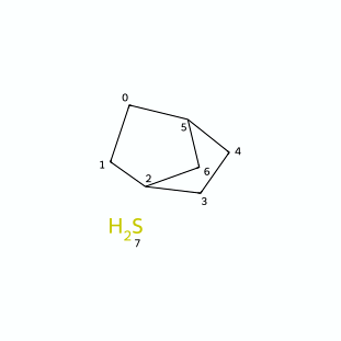 C1CC2CCC1C2.S